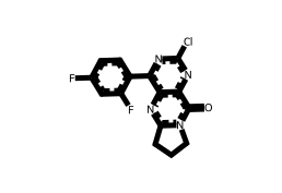 O=c1c2nc(Cl)nc(-c3ccc(F)cc3F)c2nc2n1CCC2